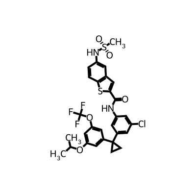 CC(C)Oc1cc(OC(F)(F)F)cc(C2(c3cc(Cl)cc(NC(=O)c4cc5cc(NS(C)(=O)=O)ccc5s4)c3)CC2)c1